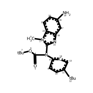 Cn1c(N(C(=O)OC(C)(C)C)c2ccc(C(C)(C)C)cc2)nc2cc(N)ccc21